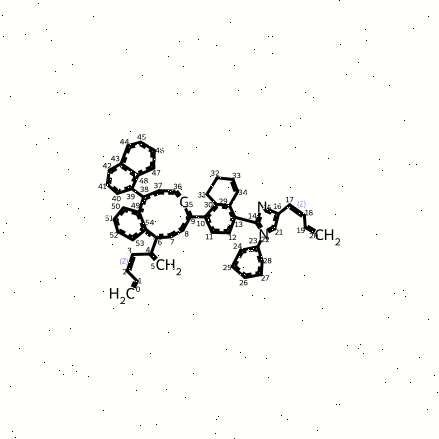 C=C/C=C\C(=C)c1ccc(-c2ccc(-c3nc(/C=C\C=C)cn3-c3ccccc3)c3c2CCC=C3)cccc(-c2cccc3ccccc23)c2ccccc12